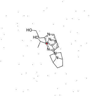 CC(O)c1nccc(N2C3CCC2CN(c2ccnc(CCO)n2)C3)n1